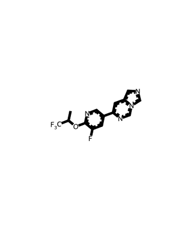 CC(Oc1ncc(-c2cc3cncn3cn2)cc1F)C(F)(F)F